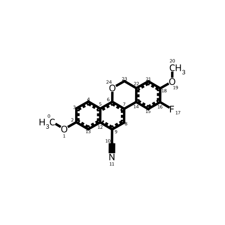 COc1ccc2c3c(cc(C#N)c2c1)-c1cc(F)c(OC)cc1CO3